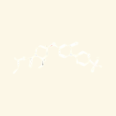 CCC(C)OC(=O)N1CC[C@@H](Oc2ccn(-c3ccc(S(C)(=O)=O)cc3)c(=O)c2)C[C@H]1CC